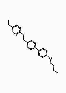 CCCCOc1ccc(-c2ccc(CCc3ccc(CC)cn3)cc2)cc1